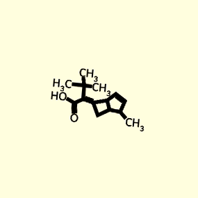 CC1C=CC2C(=C(C(=O)O)C(C)(C)C)CC12